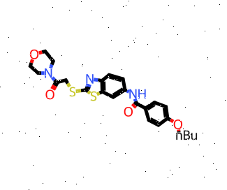 CCCCOc1ccc(C(=O)Nc2ccc3nc(SCC(=O)N4CCOCC4)sc3c2)cc1